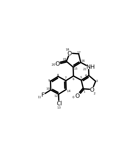 O=C1OCC2=C1C(c1ccc(F)c(Cl)c1)C1=C(COC1=O)N2